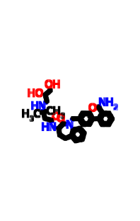 CC(C)(CC(=O)N[C@@H]1CCc2ccccc2N(Cc2ccc(-c3ccccc3C(N)=O)cc2)C1=O)NC[C@H](O)CO